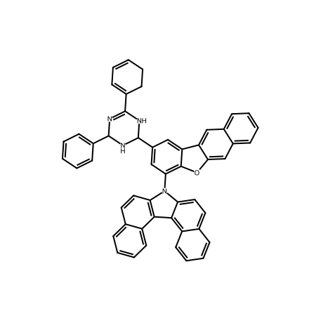 C1=CCCC(C2=NC(c3ccccc3)NC(c3cc(-n4c5ccc6ccccc6c5c5c6ccccc6ccc54)c4oc5cc6ccccc6cc5c4c3)N2)=C1